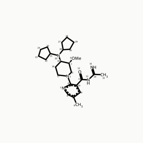 CO[C@H]1CN(c2ncc(C)cc2C(=O)NC(C)=N)CC[C@H]1N(C1CCCC1)C1CCCC1